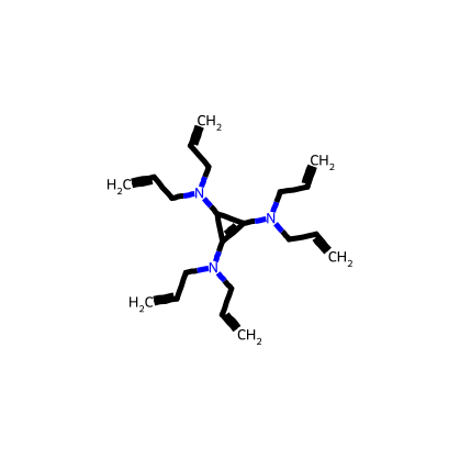 C=CCN(CC=C)C1=C(N(CC=C)CC=C)C1N(CC=C)CC=C